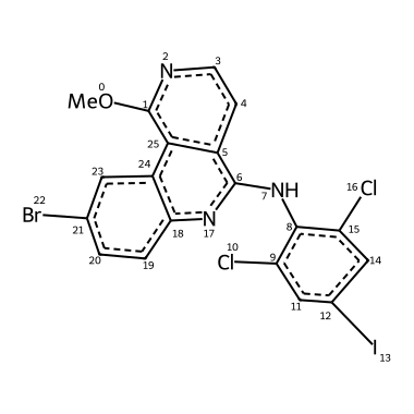 COc1nccc2c(Nc3c(Cl)cc(I)cc3Cl)nc3ccc(Br)cc3c12